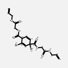 C=CCOC(=O)COC(=O)C1C=CC(Br)(C(=O)OCC(=O)OCC=C)C=C1Br